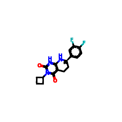 O=c1[nH]c2c(c(=O)n1C1CCC1)CC[C@H](c1ccc(F)c(F)c1)N2